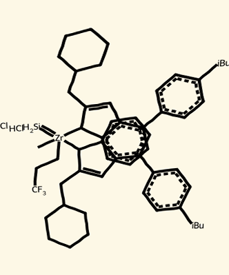 CCC(C)c1ccc(-c2cccc3c2C=C(CC2CCCCC2)[CH]3[Zr]([CH3])(=[SiH2])([CH2]CC(F)(F)F)[CH]2C(CC3CCCCC3)=Cc3c(-c4ccc(C(C)CC)cc4)cccc32)cc1.Cl.Cl